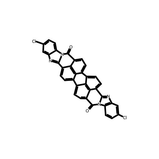 O=c1c2ccc3c4ccc5c6c(ccc(c7ccc(c2c37)c2nc3cc(Cl)ccc3n12)c46)c(=O)n1c2ccc(Cl)cc2nc51